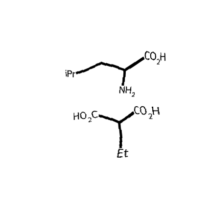 CC(C)CC(N)C(=O)O.CCC(C(=O)O)C(=O)O